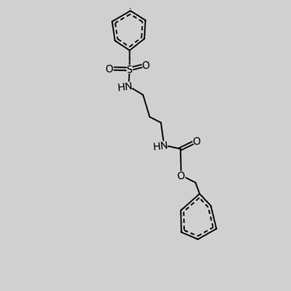 O=C(NCCCNS(=O)(=O)c1cc[c]cc1)OCc1ccccc1